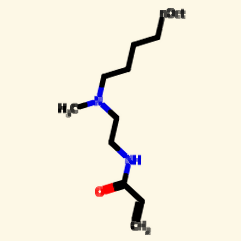 C=CC(=O)NCCN(C)CCCCCCCCCCCC